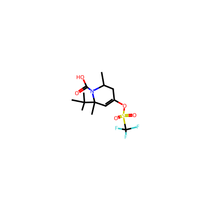 CC1CC(OS(=O)(=O)C(F)(F)F)=CC(C)(C(C)(C)C)N1C(=O)O